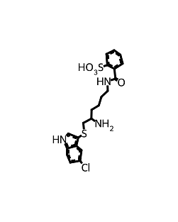 NC(CCCCNC(=O)c1ccccc1S(=O)(=O)O)CSc1c[nH]c2ccc(Cl)cc12